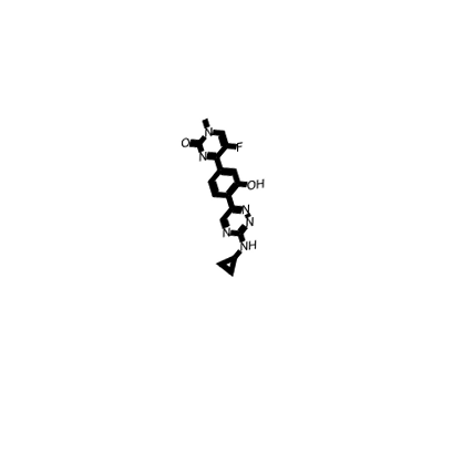 Cn1cc(F)c(-c2ccc(-c3cnc(NC4CC4)nn3)c(O)c2)nc1=O